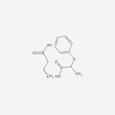 CC(Oc1ccccc1)C(=O)O.CCCC(=O)O